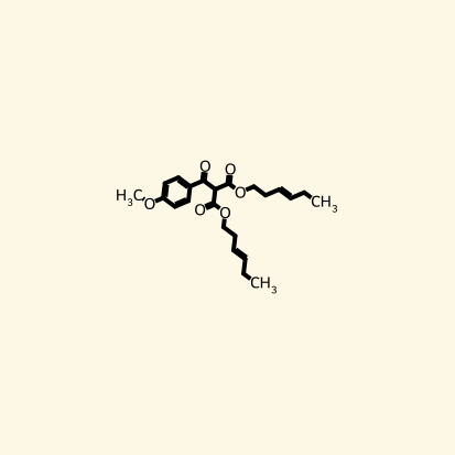 CCC=CCCOC(=O)C(C(=O)OCCC=CCC)C(=O)c1ccc(OC)cc1